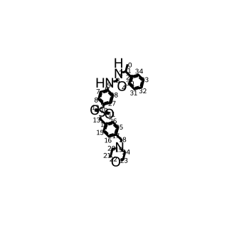 CC(NC(=O)Nc1ccc(S(=O)(=O)Cc2ccc(CN3CCOCC3)cc2)cc1)c1ccccc1